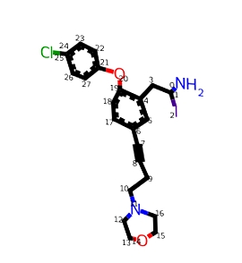 NC(I)Cc1cc(C#CCCN2CCOCC2)ccc1Oc1ccc(Cl)cc1